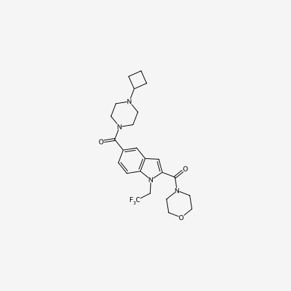 O=C(c1ccc2c(c1)cc(C(=O)N1CCOCC1)n2CC(F)(F)F)N1CCN(C2CCC2)CC1